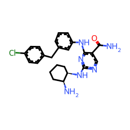 NC(=O)c1cnc(N[C@@H]2CCCC[C@@H]2N)nc1Nc1cccc(Cc2ccc(Cl)cc2)c1